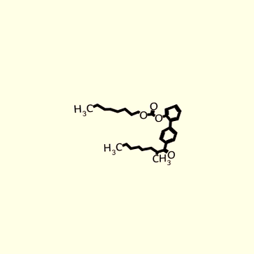 CCCCCCCCOC(=O)Oc1ccccc1-c1ccc(C(=O)C(C)CCCCCC)cc1